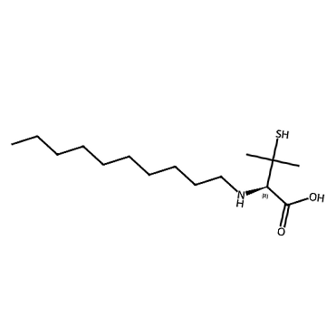 CCCCCCCCCCN[C@H](C(=O)O)C(C)(C)S